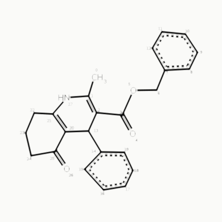 CC1=C(C(=O)OCc2ccccc2)C(c2ccccc2)C2=C(CCCC2=O)N1